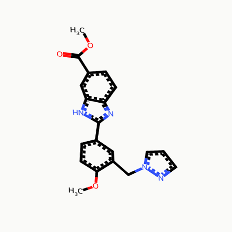 COC(=O)c1ccc2nc(-c3ccc(OC)c(Cn4cccn4)c3)[nH]c2c1